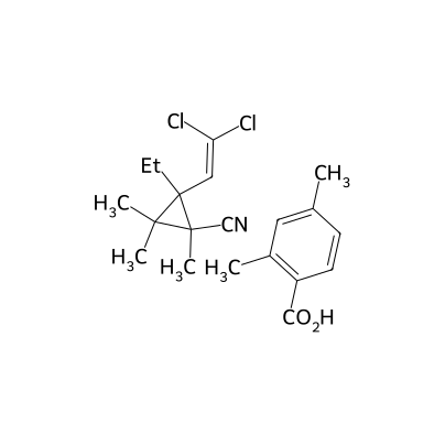 CCC1(C=C(Cl)Cl)C(C)(C)C1(C)C#N.Cc1ccc(C(=O)O)c(C)c1